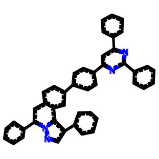 c1ccc(-c2cc(-c3ccc(-c4ccc5cc(-c6ccccc6)n6ncc(-c7ccccc7)c6c5c4)cc3)nc(-c3ccccc3)n2)cc1